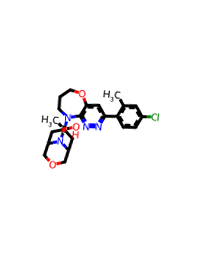 CB(O)N1C2COCC1CC(N1CCCOc3cc(-c4ccc(Cl)cc4C)nnc31)C2